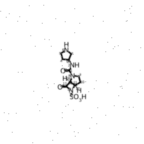 O=C(N[C@H]1CCNC1)N1CC[C@@H]2[C@H]1C(=O)N2S(=O)(=O)O